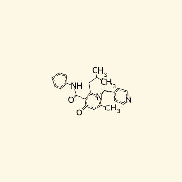 Cc1cc(=O)c(C(=O)Nc2ccccc2)c(CC(C)C)n1Cc1ccncc1